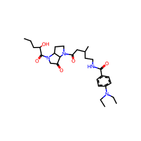 CCCC(O)C(=O)N1CC(=O)C2C1CCN2C(=O)CC(C)CCNC(=O)c1ccc(N(CC)CC)cc1